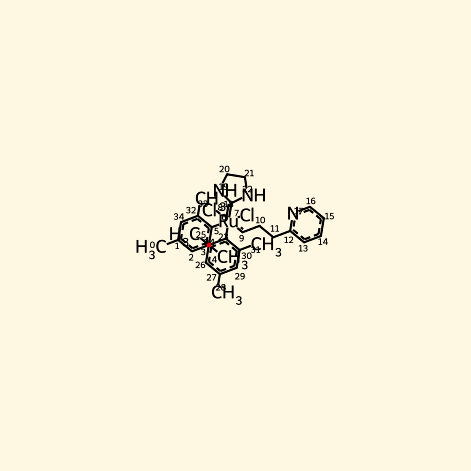 Cc1cc(C)[c]([Ru]([Cl])([Cl])(=[CH]CCc2ccccn2)(=[C]2NCCN2)[c]2c(C)cc(C)cc2C)c(C)c1